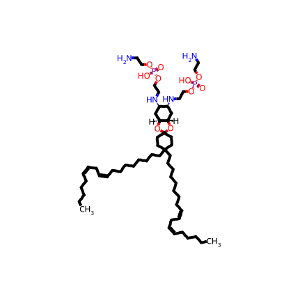 CCCCC/C=C\C/C=C\CCCCCCCCC1(CCCCCCCC/C=C\C/C=C\CCCCC)CCC2(CC1)O[C@H]1C[C@H](NCCOP(=O)(O)OCCN)[C@H](NCCOP(=O)(O)OCCN)C[C@@H]1O2